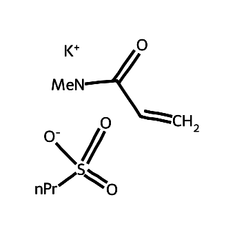 C=CC(=O)NC.CCCS(=O)(=O)[O-].[K+]